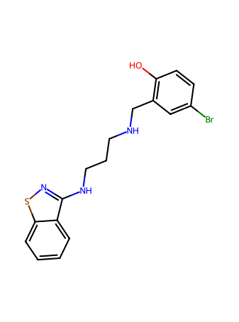 Oc1ccc(Br)cc1CNCCCNc1nsc2ccccc12